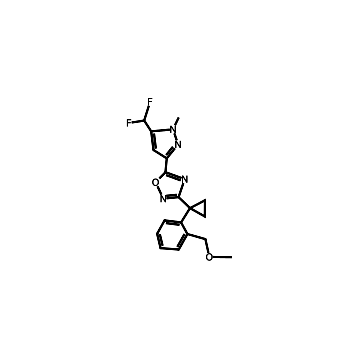 COCc1ccccc1C1(c2noc(-c3cc(C(F)F)n(C)n3)n2)CC1